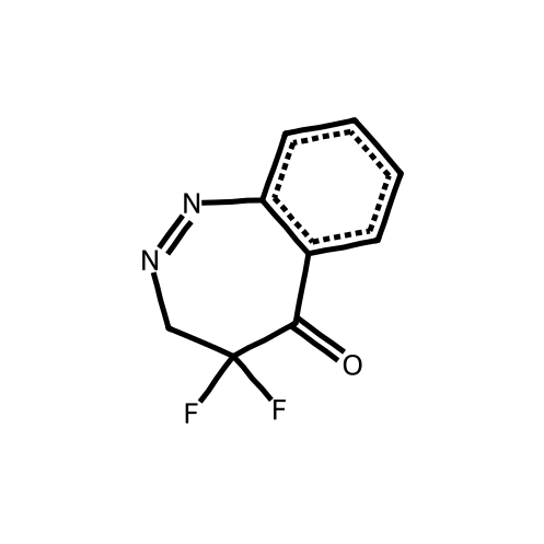 O=C1c2ccccc2N=NCC1(F)F